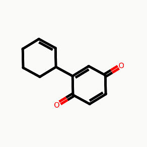 O=C1C=CC(=O)C(C2C=CCCC2)=C1